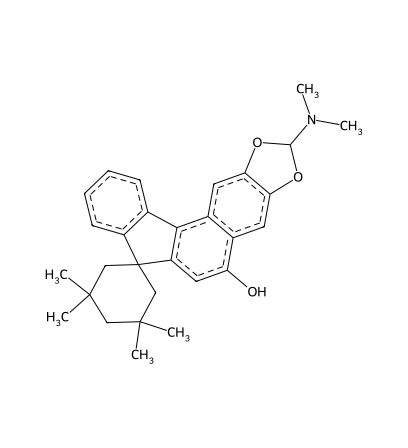 CN(C)C1Oc2cc3c(O)cc4c(c3cc2O1)-c1ccccc1C41CC(C)(C)CC(C)(C)C1